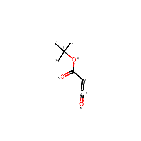 CC(C)(C)OC(=O)[C]=C=O